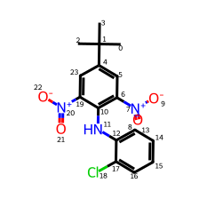 CC(C)(C)c1cc([N+](=O)[O-])c(Nc2ccccc2Cl)c([N+](=O)[O-])c1